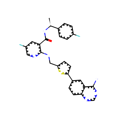 C[C@H](NC(=O)c1cc(F)cnc1NCc1ccc(-c2ccc3ncnc(N)c3c2)s1)c1ccc(F)cc1